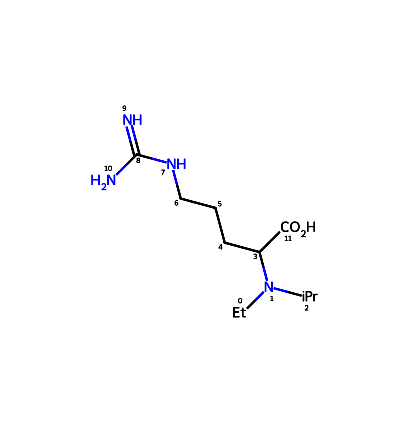 CCN(C(C)C)C(CCCNC(=N)N)C(=O)O